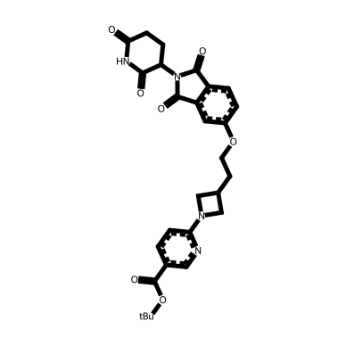 CC(C)(C)OC(=O)c1ccc(N2CC(CCOc3ccc4c(c3)C(=O)N(C3CCC(=O)NC3=O)C4=O)C2)nc1